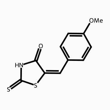 COc1ccc(/C=C2/SC(=S)NC2=O)cc1